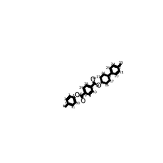 Cc1ccc(OC(=O)c2ccc(C(=O)OC3CCC(c4ccc(C)cc4)CC3)cc2)cc1